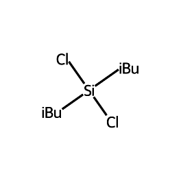 CCC(C)[Si](Cl)(Cl)C(C)CC